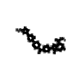 Cn1cc(-c2cnc(N3CCN(C(=O)c4ccc(-c5nc6c(C(N)=O)cc(F)cc6[nH]5)cc4)CC3)nc2)cn1